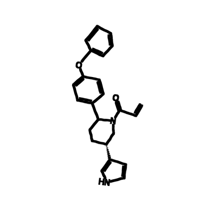 C=CC(=O)N1C[C@H](c2cc[nH]c2)CCC1c1ccc(Oc2ccccc2)cc1